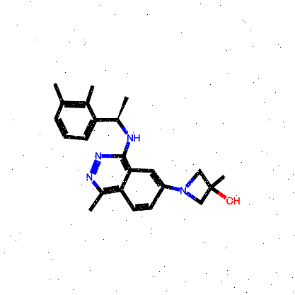 Cc1cccc([C@@H](C)Nc2nnc(C)c3ccc(N4CC(C)(O)C4)cc23)c1C